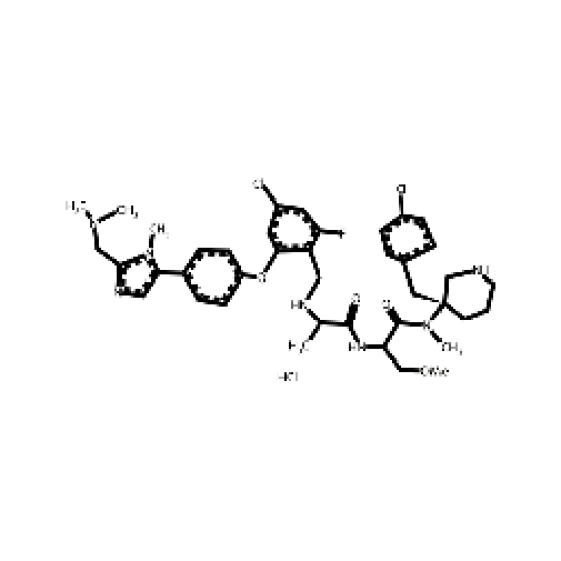 COCC(NC(=O)C(C)NCc1c(F)cc(Cl)cc1Oc1ccc(-c2cnc(CN(C)C)n2C)cc1)C(=O)N(C)[C@@]1(Cc2ccc(Cl)cc2)CCCNC1.Cl